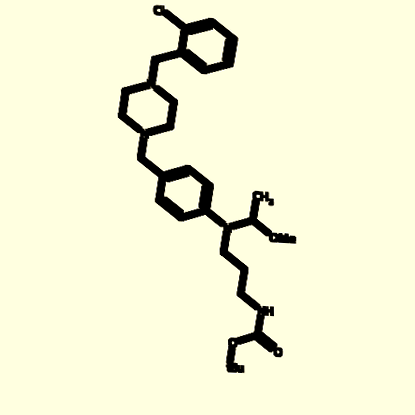 COC(C)N(CCCNC(=O)OC(C)(C)C)c1ccc(CN2CCN(Cc3ccccc3Cl)CC2)cc1